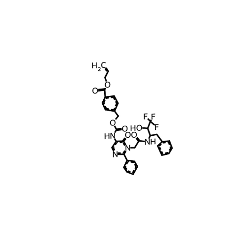 C=CCOC(=O)c1ccc(COC(=O)Nc2cnc(-c3ccccc3)n(CC(=O)NC(Cc3ccccc3)C(O)C(F)(F)F)c2=O)cc1